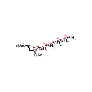 CCCCCCCCCCCC[SiH](O[SiH2]O[SiH2]O[SiH2]O[SiH2]O[SiH3])OC(C)=O